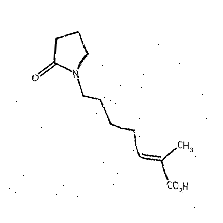 CC(=CCCCCN1CCCC1=O)C(=O)O